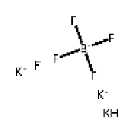 F[B-](F)(F)F.[F-].[K+].[K+].[KH]